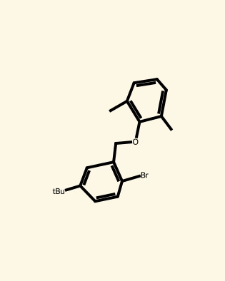 Cc1cccc(C)c1OCc1cc(C(C)(C)C)ccc1Br